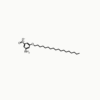 CCCCCCCCCCCCCCCCCCOc1cc(N)cc([N+](=O)[O-])c1